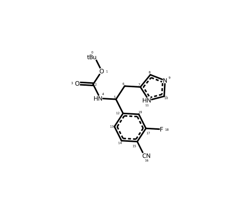 CC(C)(C)OC(=O)NC(Cc1cn[c][nH]1)c1ccc(C#N)c(F)c1